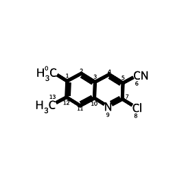 Cc1cc2cc(C#N)c(Cl)nc2cc1C